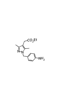 CCOC(=O)Cc1c(C)nn(Cc2ccc(N)cc2)c1C